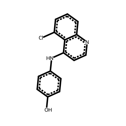 Oc1ccc(Nc2ccnc3cccc(Cl)c23)cc1